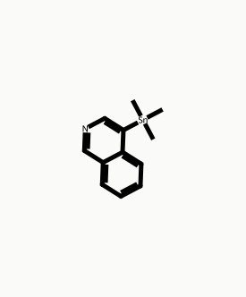 [CH3][Sn]([CH3])([CH3])[c]1cncc2ccccc12